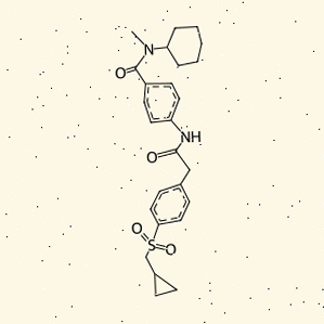 CN(C(=O)c1ccc(NC(=O)Cc2ccc(S(=O)(=O)CC3CC3)cc2)cc1)C1CCCCC1